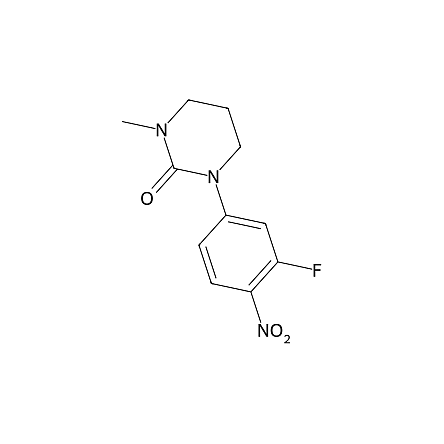 CN1CCCN(c2ccc([N+](=O)[O-])c(F)c2)C1=O